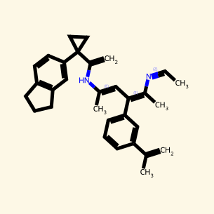 C=C(C)c1cccc(C(/C=C(\C)NC(=C)C2(c3ccc4c(c3)CCC4)CC2)=C(C)/N=C\C)c1